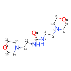 O=C(NCCN1CCOCC1)NCCN1CCOCC1